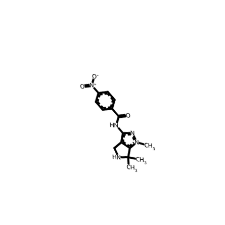 Cn1nc(NC(=O)c2ccc([N+](=O)[O-])cc2)c2c1C(C)(C)NC2